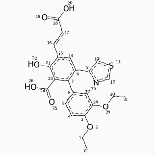 CCOc1ccc(-c2c(-c3cscn3)cc(C=CC(=O)O)c(O)c2C(=O)O)cc1OCC